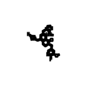 CNc1nccn1Cc1cc(CN2CC(F)C2)c2c(c1)C(=O)N(Cc1cnc(F)c(OC)c1)CC2